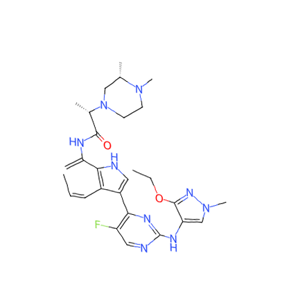 C=C(NC(=O)[C@H](C)N1CCN(C)[C@@H](C)C1)c1[nH]cc(-c2nc(Nc3cn(C)nc3OCC)ncc2F)c1/C=C\C